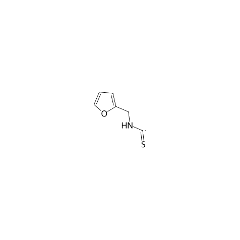 S=[C]NCc1ccco1